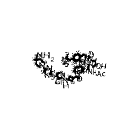 CC(=O)N[C@H](C(=O)N1C[C@H](O)C[C@H]1C(=O)NCc1ccc(-c2scnc2C)cc1OC1CCN(C(=O)C2CC(Nc3nccc(Sc4cnc(N5CCC(C)(CN)CC5)cn4)c3Cl)C2)CC1)C(C)(C)C